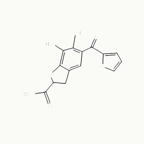 COC(=O)C1Cc2cc(C(=O)c3ccco3)c(C)c(C)c2O1